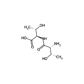 C[C@H](O)[C@@H](N)C(=O)N[C@@H](C(=O)O)[C@H](C)O